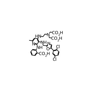 Cc1cc(NCCN(CC(=O)O)CC(=O)O)c(NCc2ncc(-c3cc(Cl)ccc3Cl)o2)c(Nc2ccccc2C(=O)O)n1